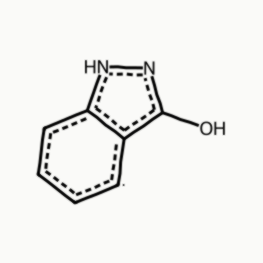 Oc1n[nH]c2ccc[c]c12